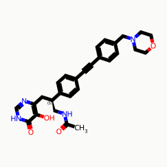 CC(=O)NC[C@@H](Cc1nc[nH]c(=O)c1O)c1ccc(C#Cc2ccc(CN3CCOCC3)cc2)cc1